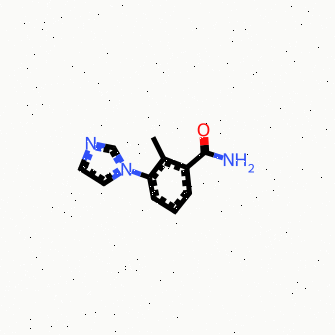 Cc1c(C(N)=O)cccc1-n1ccnc1